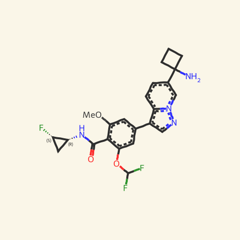 COc1cc(-c2cnn3cc(C4(N)CCC4)ccc23)cc(OC(F)F)c1C(=O)N[C@@H]1C[C@@H]1F